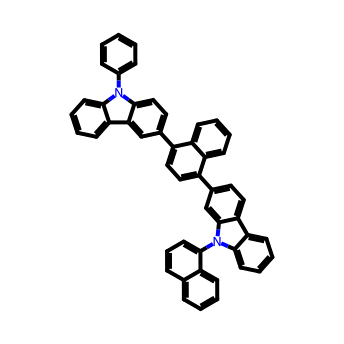 c1ccc(-n2c3ccccc3c3cc(-c4ccc(-c5ccc6c7ccccc7n(-c7cccc8ccccc78)c6c5)c5ccccc45)ccc32)cc1